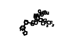 CC(C)(C)OC(=O)Nc1cc(OCC(F)(F)F)c(C(F)(F)F)cc1NC(=O)CC(=O)c1cccc(-c2ccnc(C3CCCC3)c2)c1